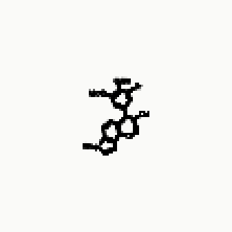 CCn1ccc2c3c(ccc21)C(c1cc(Br)c(OC)c(OC)c1)C(C#N)=CO3